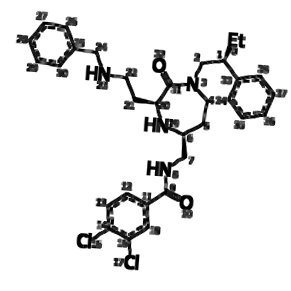 CC[C@H](CN1CC[C@@H](CNC(=O)c2ccc(Cl)c(Cl)c2)N[C@@H](CCNCc2ccccc2)C1=O)c1ccccc1